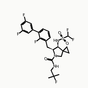 CC(C)(F)CNC(=O)N1CC2(CC2)[C@H](NS(=O)(=O)C(F)F)[C@@H]1Cc1cccc(-c2cc(F)cc(F)c2)c1F